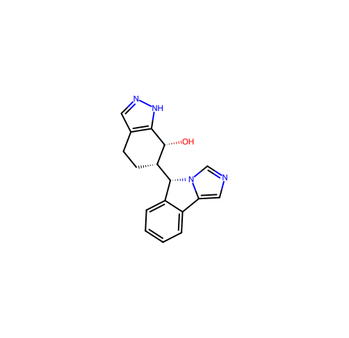 O[C@H]1c2[nH]ncc2CC[C@H]1[C@H]1c2ccccc2-c2cncn21